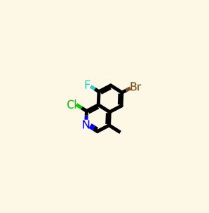 Cc1cnc(Cl)c2c(F)cc(Br)cc12